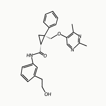 Cc1ncc(OC[C@@]2(c3ccccc3)C[C@H]2C(=O)Nc2cccc(CCO)c2)c(C)n1